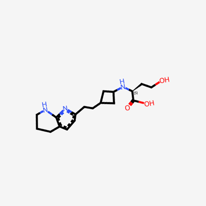 O=C(O)[C@H](CCO)NC1CC(CCc2ccc3c(n2)NCCC3)C1